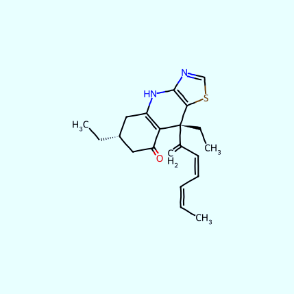 C=C(/C=C\C=C/C)[C@]1(CC)C2=C(C[C@@H](CC)CC2=O)Nc2ncsc21